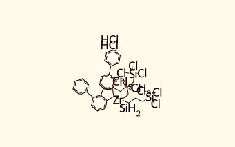 CC1=Cc2c(-c3ccccc3)cccc2[CH]1[Zr](=[SiH2])([CH2]CC[Si](Cl)(Cl)Cl)([CH2]CC[Si](Cl)(Cl)Cl)[CH]1C(C)=Cc2c(-c3ccccc3)cccc21.Cl.Cl